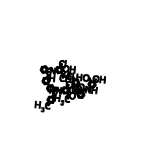 CC(=O)c1cc(NCc2ccccc2Sc2ccc(C)cc2)cc(Cl)c1O.CC(=O)c1cc(NCc2ccccc2Sc2ccccc2)cc(Cl)c1O.O=S(=O)(c1ccc(Cl)cc1)c1ccccc1CNc1ccc(O)c(CO)c1